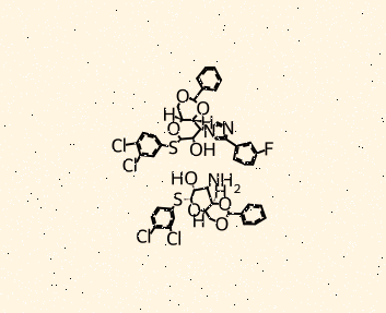 N[C@@H]1[C@@H](O)[C@@H](Sc2ccc(Cl)c(Cl)c2)O[C@@H]2COC(c3ccccc3)O[C@H]12.O[C@@H]1[C@@H](n2cnc(-c3cccc(F)c3)c2)[C@H]2OC(c3ccccc3)OC[C@H]2O[C@@H]1Sc1ccc(Cl)c(Cl)c1